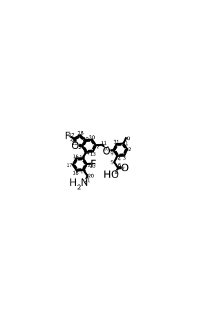 Cc1ccc(CC(=O)O)c(OCc2cc(-c3cccc(CN)c3F)c3oc(F)cc3c2)c1